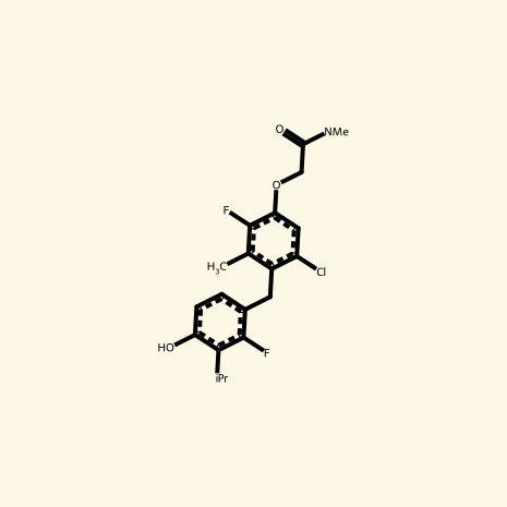 CNC(=O)COc1cc(Cl)c(Cc2ccc(O)c(C(C)C)c2F)c(C)c1F